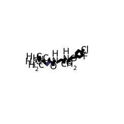 C=C/C(=C\C(=C)CN(C)C)C(=O)NCCC(=C)NC(=O)COc1ccc(Cl)c(F)c1